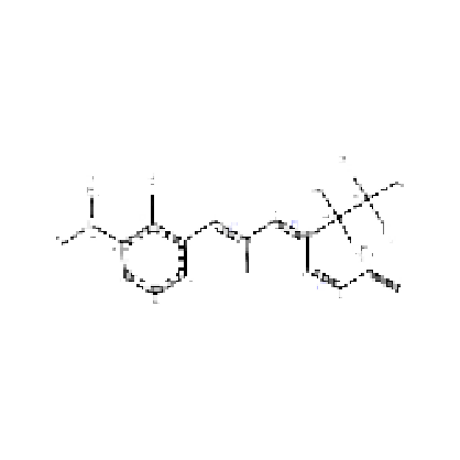 C=C\C=C/C(=C\C(C)=C\c1cccc(N(C)CC)c1F)C(C)(C(C)(F)F)C(F)(F)F